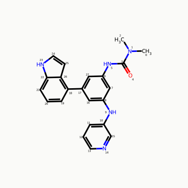 CN(C)C(=O)Nc1cc(Nc2cccnc2)cc(-c2cccc3[nH]ccc23)c1